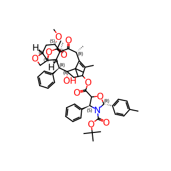 CO[C@H]1C[C@H]2OC[C@@]2(OC(C)=O)[C@H]2[C@H](c3ccccc3)[C@]3(O)CC(OC(=O)C4O[C@H](c5ccc(C)cc5)N(C(=O)OC(C)(C)C)[C@H]4c4ccccc4)C(C)=C([C@@H](C)C(=O)[C@]12C)C3(C)C